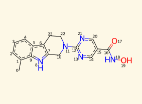 Cc1cccc2c3c([nH]c12)CN(c1ncc(C(=O)NO)cn1)CC3